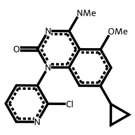 CNc1nc(=O)n(-c2cccnc2Cl)c2cc(C3CC3)cc(OC)c12